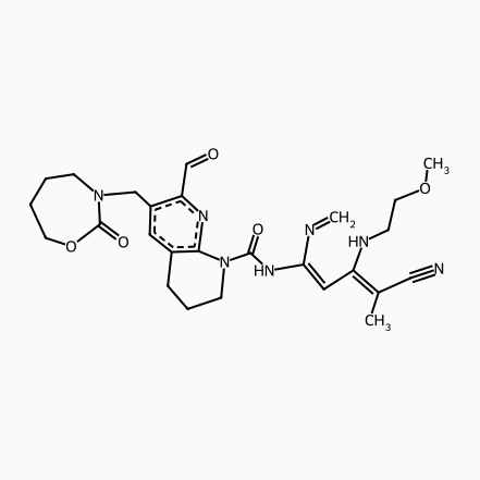 C=N/C(=C\C(NCCOC)=C(/C)C#N)NC(=O)N1CCCc2cc(CN3CCCCOC3=O)c(C=O)nc21